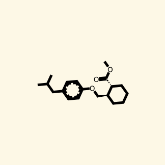 COC(=O)[C@@H]1CCCC[C@H]1COc1ccc(CC(C)C)cc1